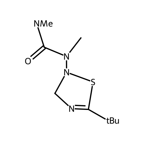 CNC(=O)N(C)N1CN=C(C(C)(C)C)S1